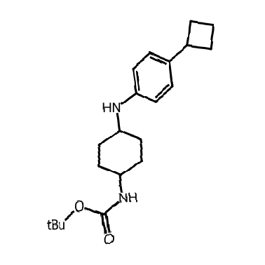 CC(C)(C)OC(=O)NC1CCC(Nc2ccc(C3CCC3)cc2)CC1